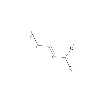 CC(O)/[C]=C/CN